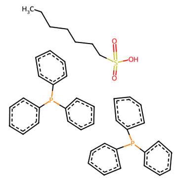 CCCCCCCS(=O)(=O)O.c1ccc(P(c2ccccc2)c2ccccc2)cc1.c1ccc(P(c2ccccc2)c2ccccc2)cc1